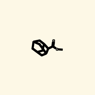 COC(=O)C1C2C[C]3CC(C2)CC1C3